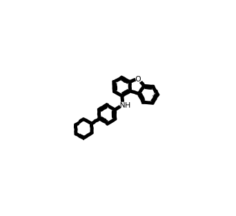 c1ccc2c(c1)oc1cccc(Nc3ccc(C4CCCCC4)cc3)c12